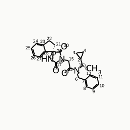 C[C@@H](C1CC1)N(Cc1ccccc1)C(=O)CN1C(=O)N[C@]2(CCc3ccccc32)C1=O